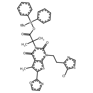 Cc1c(-c2ncco2)sc2c1c(=O)n(C(C)(C)C(=O)O[Si](c1ccccc1)(c1ccccc1)C(C)(C)C)c(=O)n2CCc1ncsc1Cl